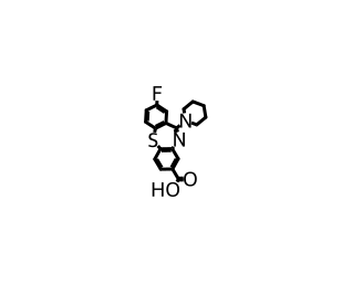 O=C(O)c1ccc2c(c1)N=C(N1CCCCC1)c1cc(F)ccc1S2